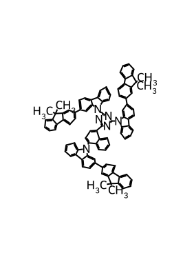 CC1(C)c2ccccc2-c2ccc(-c3ccc4c5ccccc5n(-c5nc(-c6ccc(-n7c8ccccc8c8ccc(-c9ccc%10c(c9)C(C)(C)c9ccccc9-%10)cc87)c7ccccc67)nc(-n6c7ccccc7c7ccc(-c8ccc9c(c8)C(C)(C)c8ccccc8-9)cc76)n5)c4c3)cc21